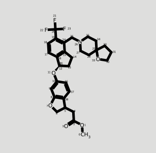 COC(=O)CC1COc2cc(O[C@@H]3CCc4c3ccc(C(F)(F)F)c4CN3CCC4(CCCO4)CC3)ccc21